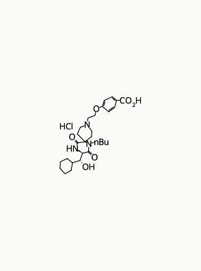 CCCCN1C(=O)[C@@H]([C@H](O)C2CCCCC2)NC(=O)C12CCN(CCOc1ccc(C(=O)O)cc1)CC2.Cl